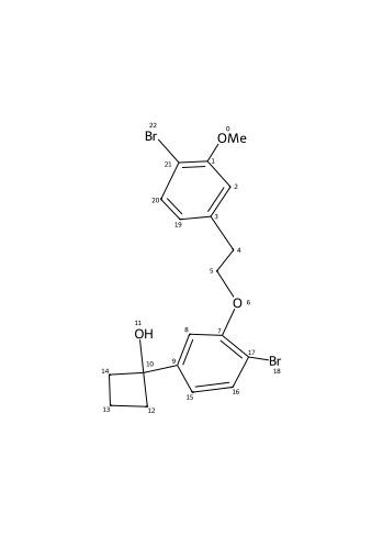 COc1cc(CCOc2cc(C3(O)CCC3)ccc2Br)ccc1Br